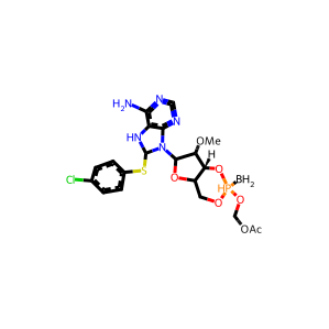 B[PH]1(OCOC(C)=O)OCC2OC(N3c4ncnc(N)c4NC3Sc3ccc(Cl)cc3)C(OC)[C@@H]2O1